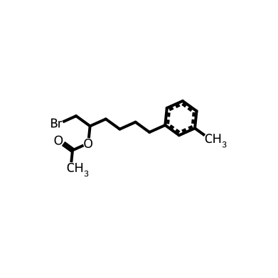 CC(=O)OC(CBr)CCCCc1cccc(C)c1